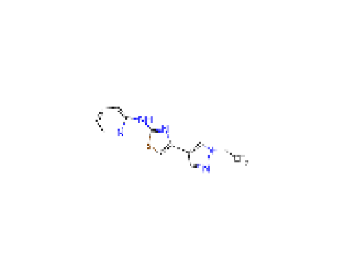 FC(F)(F)Cn1cc(-c2csc(Nc3ccccn3)n2)cn1